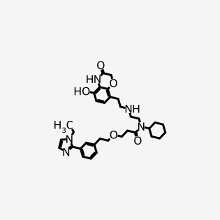 CCn1ccnc1-c1cccc(CCOCCC(=O)N(CCNCCc2ccc(O)c3c2OCC(=O)N3)C2CCCCC2)c1